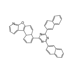 C1=CC2c3c(oc4ncccc34)C=CC2C(c2nc(-c3ccc4ccccc4c3)nc(-c3ccc4ccccc4c3)n2)=C1